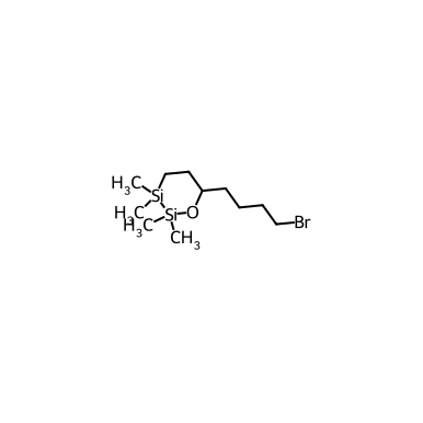 C[Si]1(C)CCC(CCCCBr)O[Si]1(C)C